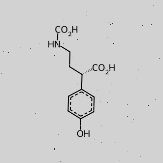 O=C(O)NCC[C@H](C(=O)O)c1ccc(O)cc1